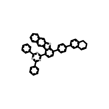 C1=Cc2cc(-c3ccc(-c4ccc(-c5nc(-c6ccccc6)nc(-c6ccccc6)n5)c5c4oc4cc6ccccc6cc45)cc3)ccc2CC1